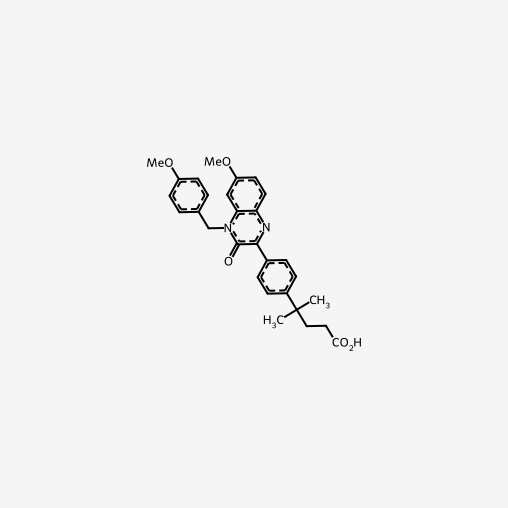 COc1ccc(Cn2c(=O)c(-c3ccc(C(C)(C)CCC(=O)O)cc3)nc3ccc(OC)cc32)cc1